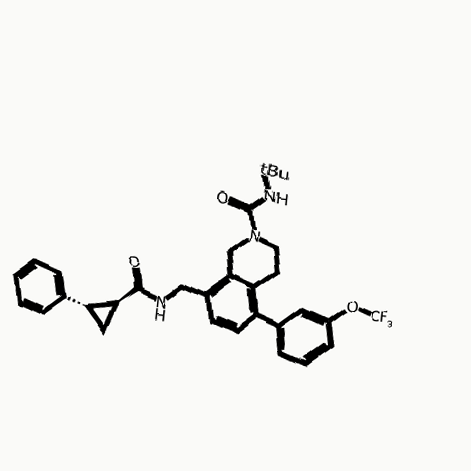 CC(C)(C)NC(=O)N1CCc2c(-c3cccc(OC(F)(F)F)c3)ccc(CNC(=O)[C@H]3C[C@@H]3c3ccccc3)c2C1